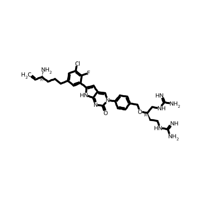 C=C[C@H](N)CCCc1cc(Cl)c(F)c(-c2cc3cn(-c4ccc(CO[C@H](CCNC(=N)N)CNC(=N)N)cc4)c(=O)nc3[nH]2)c1